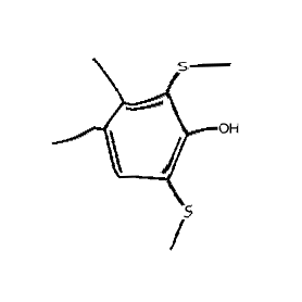 CSc1cc(C)c(C)c(SC)c1O